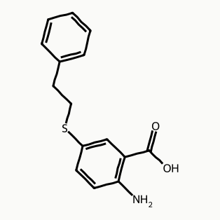 Nc1ccc(SCCc2ccccc2)cc1C(=O)O